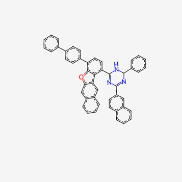 c1ccc(-c2ccc(-c3ccc(C4=NC(c5ccc6ccccc6c5)=NC(c5ccccc5)N4)c4c3oc3cc5ccccc5cc34)cc2)cc1